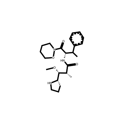 CO[C@@H]([C@@H]1CCCN1)[C@@H](C)C(=O)N[C@H](C(=O)N1CCCCO1)C(C)c1ccccc1